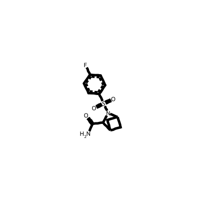 NC(=O)C1C2CC(C2)N1S(=O)(=O)c1ccc(F)cc1